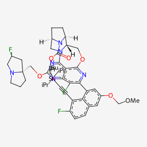 COCOc1cc(-c2nc3c4c(nc(OC[C@]56CCCN5C[C@@H](F)C6)nc4c2F)N2C[C@H]4CC[C@@H]([C@@H]2CO3)N4C(=O)OC(C)(C)C)c2c(C#C[Si](C(C)C)(C(C)C)C(C)C)c(F)ccc2c1